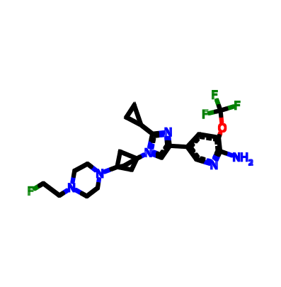 Nc1ncc(-c2cn(C34CC(N5CCN(CCF)CC5)(C3)C4)c(C3CC3)n2)cc1OC(F)(F)F